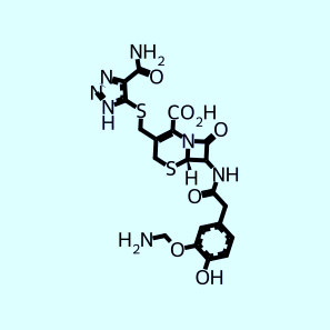 NCOc1cc(CC(=O)NC2C(=O)N3C(C(=O)O)=C(CSc4[nH]nnc4C(N)=O)CS[C@@H]23)ccc1O